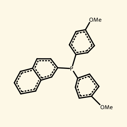 COc1ccc(P(c2ccc(OC)cc2)c2ccc3ccccc3c2)cc1